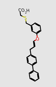 O=C(O)CSCc1cccc(OC=CCc2ccc(-c3ccccc3)cc2)c1